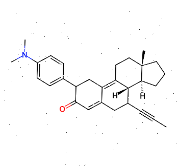 CC#CC1CC2=CC(=O)C(c3ccc(N(C)C)cc3)CC2=C2CC[C@]3(C)CCC[C@H]3[C@@H]21